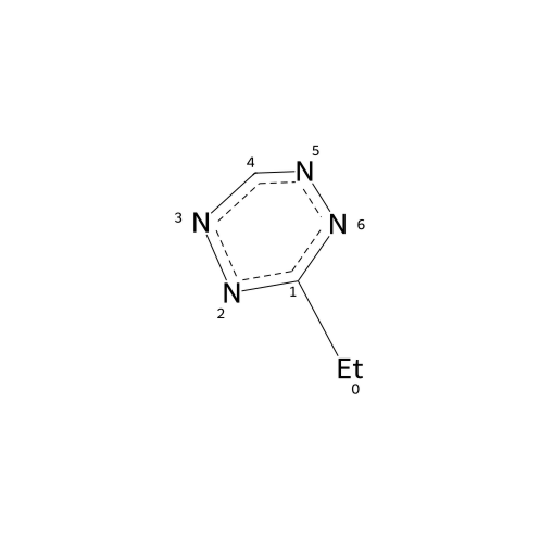 CCc1nncnn1